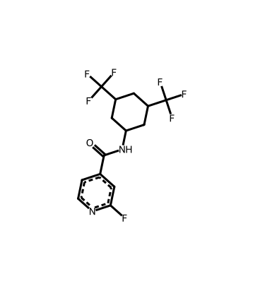 O=C(NC1CC(C(F)(F)F)CC(C(F)(F)F)C1)c1ccnc(F)c1